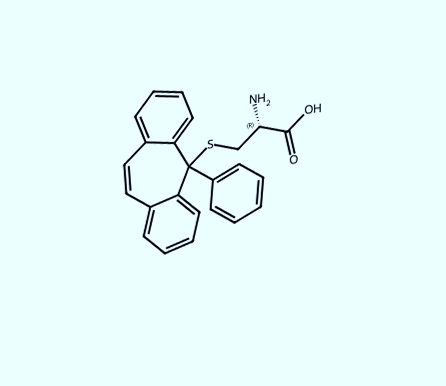 N[C@@H](CSC1(c2ccccc2)c2ccccc2C=Cc2ccccc21)C(=O)O